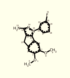 COc1cc2c(cc1OC)-c1c(c(N)nn1-c1cccc(F)c1)C2